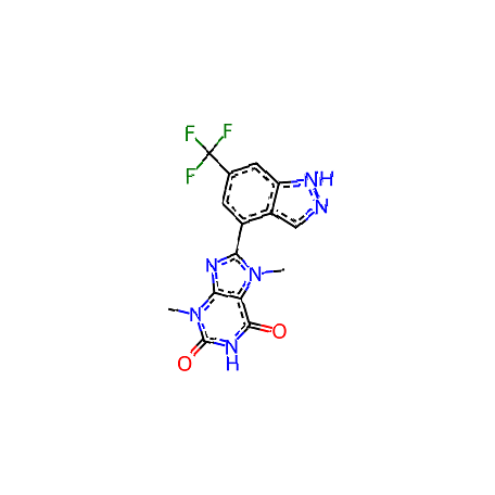 Cn1c(-c2cc(C(F)(F)F)cc3[nH]ncc23)nc2c1c(=O)[nH]c(=O)n2C